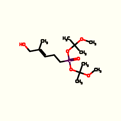 COC(C)(C)OP(=O)(CC/C=C(\C)CO)OC(C)(C)OC